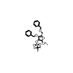 CC1O[C@H](COCc2ccccc2)[C@@H](OCc2ccccc2)[C@@H]1OS(=O)(=O)C(F)(F)F